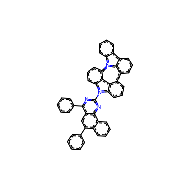 c1ccc(-c2cc3c(-c4ccccc4)nc(-n4c5cccc6c7cccc8c9ccccc9n(c9cccc4c9c65)c78)nc3c3ccccc23)cc1